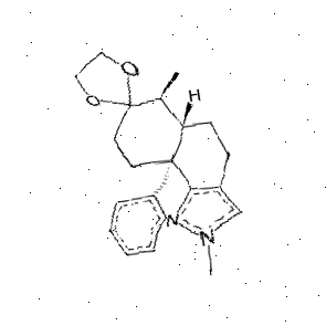 C[C@H]1[C@@H]2CCc3cn(C)nc3[C@@]2(c2ccccc2)CCC12OCCO2